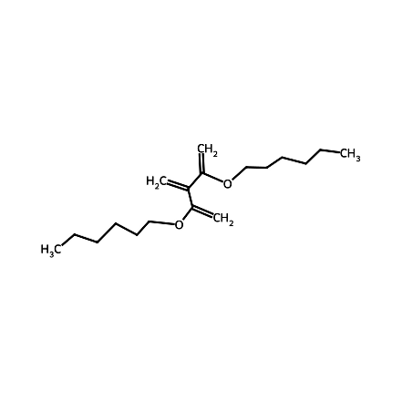 C=C(OCCCCCC)C(=C)C(=C)OCCCCCC